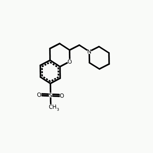 CS(=O)(=O)c1ccc2c(c1)OC(CN1CCCCC1)CC2